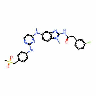 CN(c1ccc2c(c1)nc(NC(=O)Cc1cccc(F)c1)n2C)c1ccnc(Nc2ccc(CS(C)(=O)=O)cc2)n1